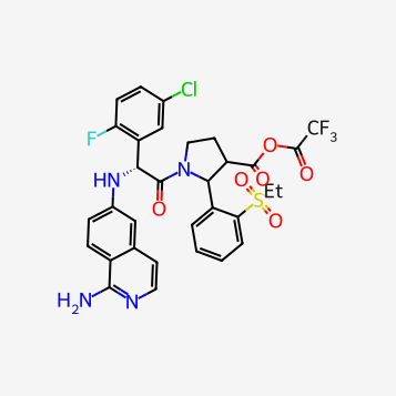 CCS(=O)(=O)c1ccccc1C1C(C(=O)OC(=O)C(F)(F)F)CCN1C(=O)[C@H](Nc1ccc2c(N)nccc2c1)c1cc(Cl)ccc1F